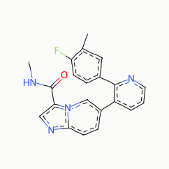 CNC(=O)c1cnc2ccc(-c3cccnc3-c3ccc(F)c(C)c3)cn12